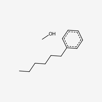 CCCCCCc1ccccc1.CO